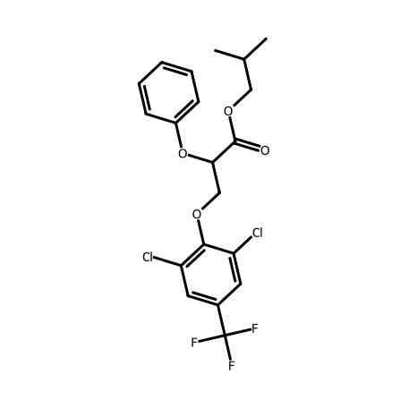 CC(C)COC(=O)C(COc1c(Cl)cc(C(F)(F)F)cc1Cl)Oc1ccccc1